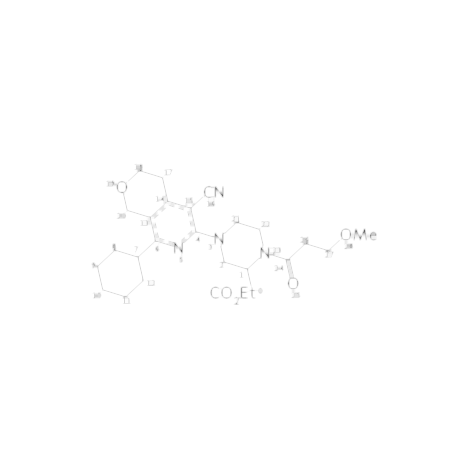 CCOC(=O)C1CN(c2nc(C3CCCCC3)c3c(c2C#N)CCOC3)CCN1C(=O)CCOC